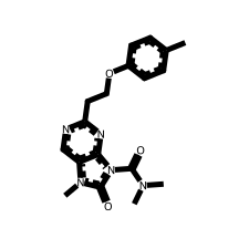 Cc1ccc(OCCc2ncc3c(n2)n(C(=O)N(C)C)c(=O)n3C)cc1